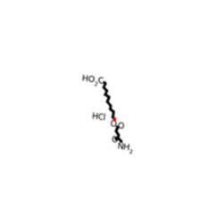 Cl.NCC(=O)CCC(=O)OCCCCCCCCCCCC(=O)O